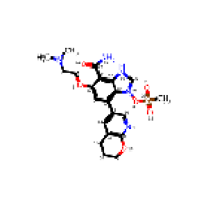 CN(C)CCOc1cc(-c2cnc3c(c2)CCCO3)c2c(c1C(N)=O)NCN2OS(C)(=O)=O